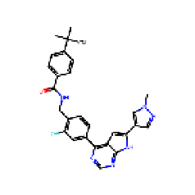 Cn1cc(-c2cc3c(-c4ccc(CNC(=O)c5ccc(C(C)(C)C#N)cc5)c(F)c4)ncnc3[nH]2)cn1